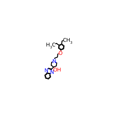 CCc1ccc(OCCCN2CCC(O)(c3cnc4ccccc4n3)CC2)cc1CC